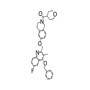 Cc1c(COc2ccc3c(c2)CCN(C(=O)C2CCOCC2)C3)nc2ccc(F)cc2c1OCc1ccccc1